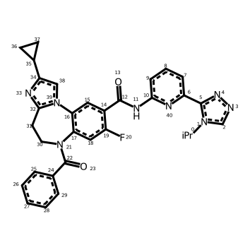 CC(C)n1cnnc1-c1cccc(NC(=O)c2cc3c(cc2F)N(C(=O)c2ccccc2)CCc2nc(C4CC4)cn2-3)n1